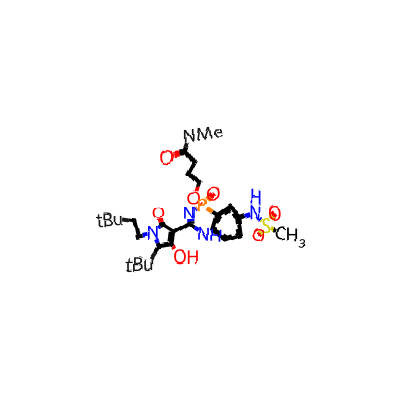 CNC(=O)CCCOP1(=O)N=C(C2=C(O)C(C(C)(C)C)N(CCC(C)(C)C)C2=O)Nc2ccc(NS(C)(=O)=O)cc21